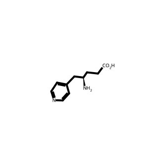 N[C@H](CCC(=O)O)Cc1ccncc1